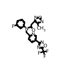 Cc1nonc1CC(=O)N(Cc1ccc(-c2noc(C(F)(F)F)n2)cn1)c1cccc(F)c1